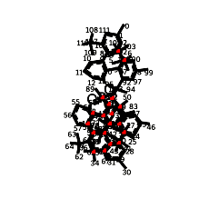 Cc1cc(C(C)(C)C)c(-c2cccc(OP(Oc3cccc(-c4c(C(C)(C)C)cc(C)cc4C(C)(C)C)c3-c3c(C(C)(C)C)cc(C)cc3C(C)(C)C)Oc3cccc(-c4c(C(C)(C)C)cc(C)cc4C(C)(C)C)c3-c3c(C(C)(C)C)cc(C)cc3C(C)(C)C)c2-c2c(C(C)(C)C)cc(C)cc2C(C)(C)C)c(C(C)(C)C)c1